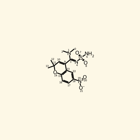 CN(C)C(=NS(N)(=O)=O)C1=CC(C)(C)Oc2ccc([N+](=O)[O-])cc21